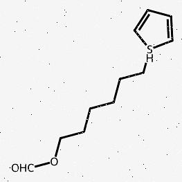 O=[C]OCCCCCC[SH]1C=CC=C1